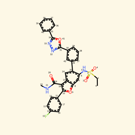 CCS(=O)(=O)Nc1cc2oc(-c3ccc(F)cc3)c(C(=O)NC)c2cc1-c1cccc(-c2nnc(-c3ccccc3)o2)c1